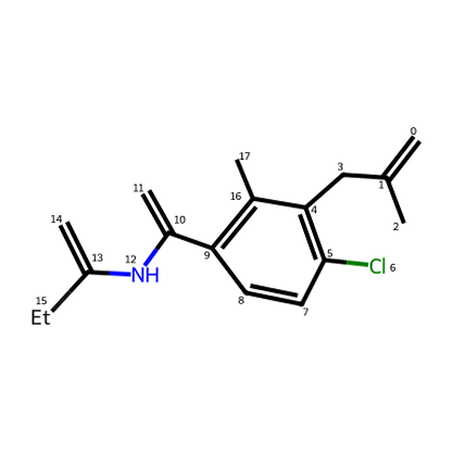 C=C(C)Cc1c(Cl)ccc(C(=C)NC(=C)CC)c1C